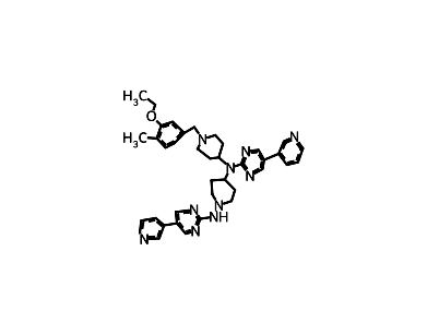 CCOc1cc(CN2CCC(N(c3ncc(-c4cccnc4)cn3)C3CCN(Nc4ncc(-c5cccnc5)cn4)CC3)CC2)ccc1C